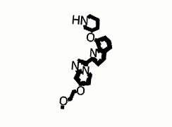 COCCOc1ccn2c(-c3ccc4cccc(O[C@H]5CCCNC5)c4n3)cnc2c1